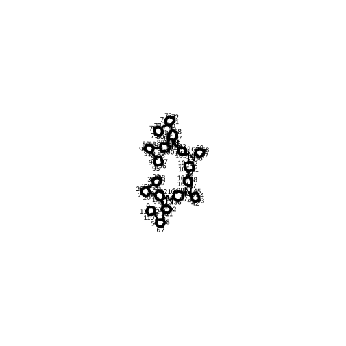 c1ccc(-c2ccccc2-c2ccc3c(c2)c2cc(-c4ccccc4-c4ccccc4)ccc2n3-c2ccc(N(c3ccccc3)c3ccc(-c4ccc(N(c5ccccc5)c5ccc(-n6c7ccc(-c8ccccc8-c8ccccc8)cc7c7cc(-c8ccccc8-c8ccccc8)ccc76)cc5)cc4)cc3)cc2)cc1